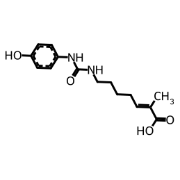 C/C(=C\CCCCNC(=O)Nc1ccc(O)cc1)C(=O)O